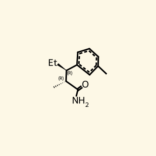 CC[C@@H](c1cccc(C)c1)[C@@H](C)C(N)=O